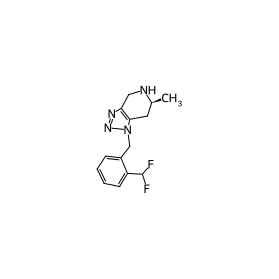 C[C@H]1Cc2c(nnn2Cc2ccccc2C(F)F)CN1